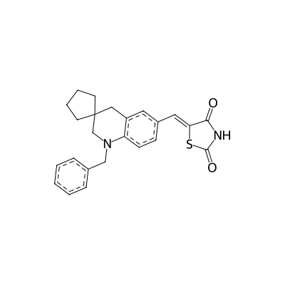 O=C1NC(=O)C(=Cc2ccc3c(c2)CC2(CCCC2)CN3Cc2ccccc2)S1